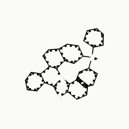 S=P(c1ccccc1)(c1ccccc1)c1ccc2ccc3c4ccccc4c4nc5ccccc5n4c3c2c1